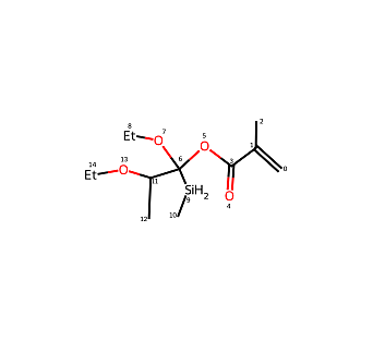 C=C(C)C(=O)OC(OCC)([SiH2]C)C(C)OCC